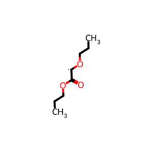 CCCO[CH]C(=O)OCCC